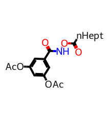 CCCCCCCC(=O)ONC(=O)c1cc(OC(C)=O)cc(OC(C)=O)c1